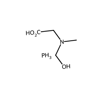 CN(CO)CC(=O)O.P